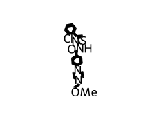 COCCN1CCN(c2ccc(C(=O)Nc3nc(-c4ccccc4Cl)cs3)cc2)CC1